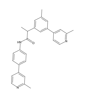 Cc1cc(-c2ccnc(C)c2)cc(C(C)C(=O)Nc2ccc(-c3ccnc(C)c3)cc2)c1